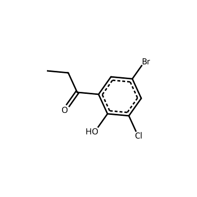 CCC(=O)c1cc(Br)cc(Cl)c1O